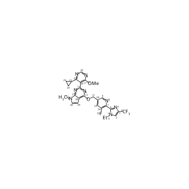 CCn1cc(C(F)(F)F)nc1-c1ncc(COc2nc(-c3c(OC)ncnc3C3CC3)nc3c2ccn3C)cc1F